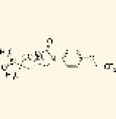 CCOC(=O)C(C)(C[C@H]1CN(c2ccc(OCC(F)(F)F)cc2)C(=O)O1)[S+](C)[O-]